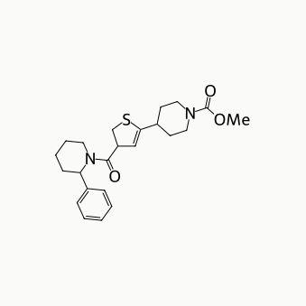 COC(=O)N1CCC(C2=CC(C(=O)N3CCCCC3c3ccccc3)CS2)CC1